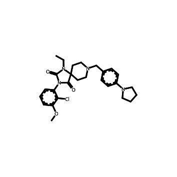 CCN1C(=O)N(c2cccc(OC)c2Cl)C(=O)C12CCN(Cc1ccc(N3CCCC3)cc1)CC2